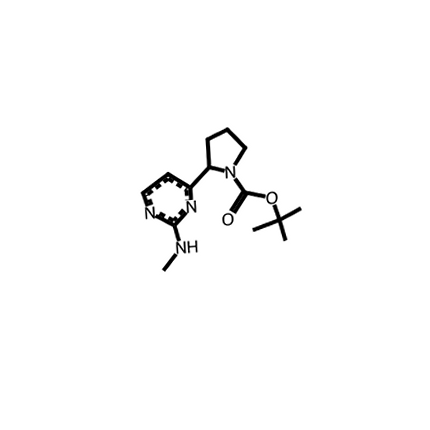 CNc1nccc(C2CCCN2C(=O)OC(C)(C)C)n1